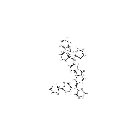 c1ccc(-c2ccc(N(c3ccccc3)c3ccc4sc5cc(N(c6ccccc6)c6cccc7c6sc6ccccc67)ccc5c4c3)cc2)cc1